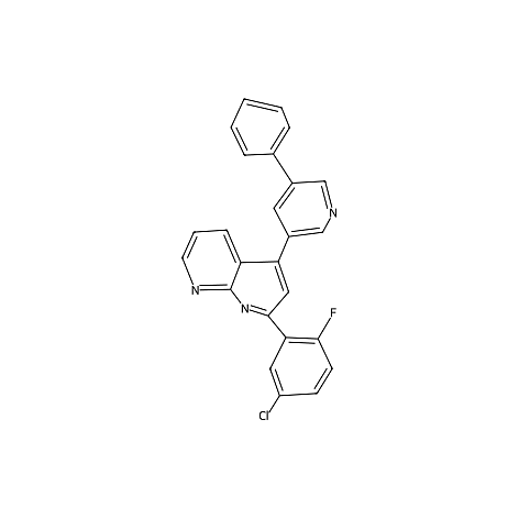 Fc1ccc(Cl)cc1-c1cc(-c2cncc(-c3ccccc3)c2)c2cccnc2n1